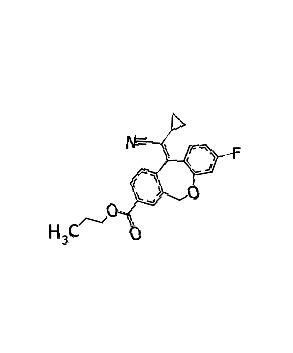 CCCOC(=O)c1ccc2c(c1)COc1cc(F)ccc1C2=C(C#N)C1CC1